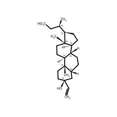 C=C[C@]1(O)CC[C@@]2(C)[C@H](CC[C@@H]3[C@@H]2CC[C@]2(C)[C@@H]([C@H](C)CC(=O)O)CC[C@@H]32)C1